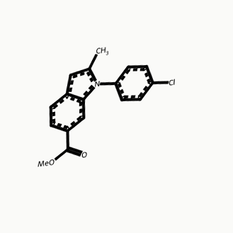 COC(=O)c1ccc2cc(C)n(-c3ccc(Cl)cc3)c2c1